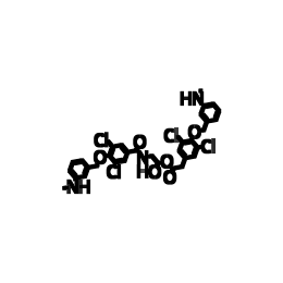 CNc1cccc(COc2c(Cl)cc(CC(=O)OC(=O)CNC(=O)c3cc(Cl)c(OCc4cccc(NC)c4)c(Cl)c3)cc2Cl)c1